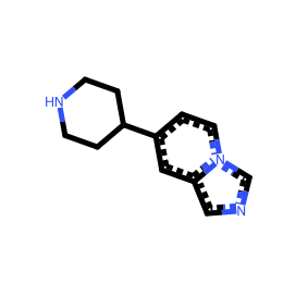 c1cn2cncc2cc1C1CCNCC1